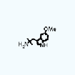 COc1ccc2[nH]cc(CC(C)(C)N)c2c1